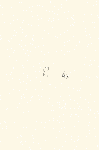 C=CCN(CCCCCCCOP(=O)(O)O)C(=O)C=C